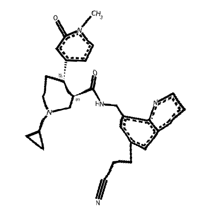 Cn1ccc([C@H]2CCN(C3CC3)C[C@@H]2C(=O)NCc2cc(CCC#N)cc3cccnc23)cc1=O